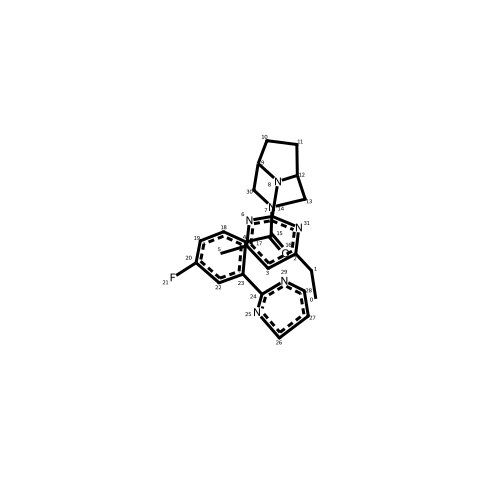 CCc1cc(C)nc(N2C3CCC2CN(C(=O)c2ccc(F)cc2-c2ncccn2)C3)n1